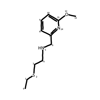 CCSCCNCc1cccc(OC)n1